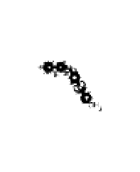 CC1CCC(C2COC(C3CCC(C(F)(F)Oc4ccc(-c5ccc(F)cc5)c(F)c4)CC3)OC2)CC1